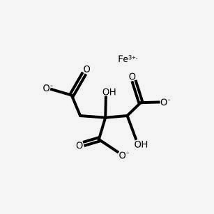 O=C([O-])CC(O)(C(=O)[O-])C(O)C(=O)[O-].[Fe+3]